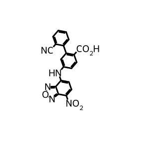 N#Cc1ccccc1-c1cc(Nc2ccc([N+](=O)[O-])c3nonc23)ccc1C(=O)O